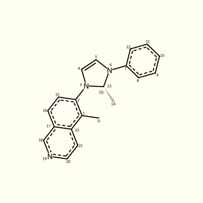 Cc1c(N2C=CN(c3ccccc3)[C@@H]2C)ccc2cnccc12